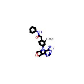 COc1cc(-n2c3c(c4ncnc(N)c42)COC3)ccc1CC(=O)Nc1ccccc1